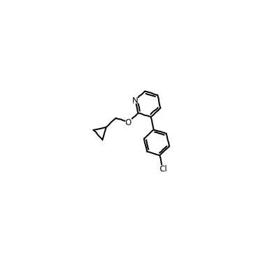 Clc1ccc(-c2cccnc2OCC2CC2)cc1